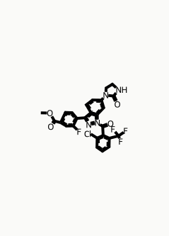 COC(=O)c1ccc(-c2nn(C(=O)c3c(Cl)cccc3C(F)(F)F)c3cc(N4CCNC4=O)ccc23)c(F)c1